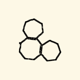 [C]1CCCC2=C(CCCCC2)C2=C1CCCCC2